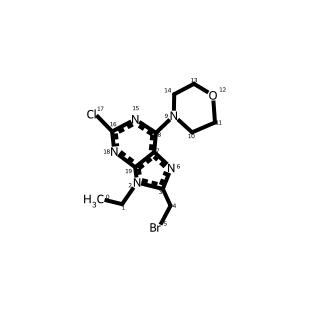 CCn1c(CBr)nc2c(N3CCOCC3)nc(Cl)nc21